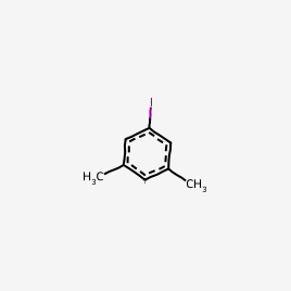 Cc1[c]c(C)cc(I)c1